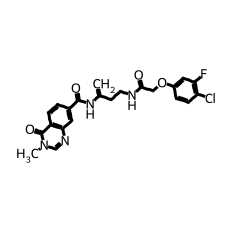 C=C(CCNC(=O)COc1ccc(Cl)c(F)c1)NC(=O)c1ccc2c(=O)n(C)cnc2c1